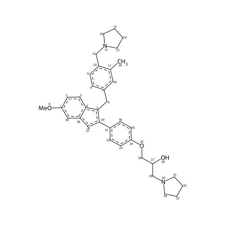 COc1ccc2c(Cc3ccc(CN4CCCC4)c(C)c3)c(-c3ccc(OCC(O)CN4CCCC4)cc3)sc2c1